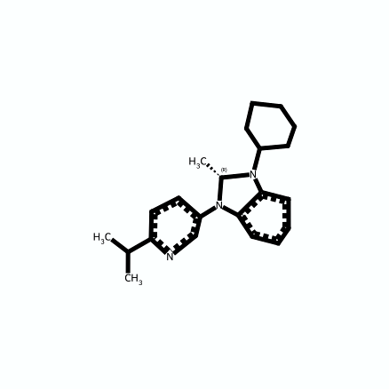 CC(C)c1ccc(N2c3ccccc3N(C3CCCCC3)[C@H]2C)cn1